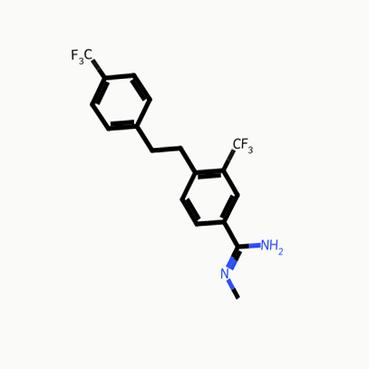 C/N=C(\N)c1ccc(CCc2ccc(C(F)(F)F)cc2)c(C(F)(F)F)c1